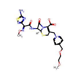 COCCOCc1cc[n+](CC2=C(C(=O)[O-])N3C(=O)C(NC(=O)C(=NOC)c4nsc(N)n4)[C@@H]3SC2)cc1